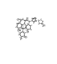 CCN1CC[C@@H](n2cc(C(Nc3cc(Cl)c4ncc(C#N)c(Nc5ccc(F)c(Cl)c5)c4c3)c3ccc(Cl)cc3)nn2)C1